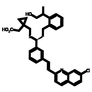 CC(CO)c1ccccc1CC[C@@H](SCC1(CC(=O)O)CC1)c1cccc(C=Cc2ccc3ccc(Cl)cc3n2)c1